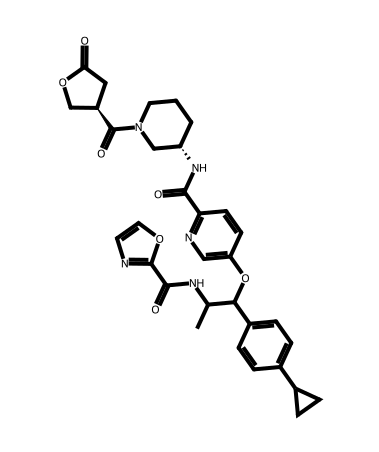 CC(NC(=O)c1ncco1)C(Oc1ccc(C(=O)N[C@H]2CCCN(C(=O)[C@H]3COC(=O)C3)C2)nc1)c1ccc(C2CC2)cc1